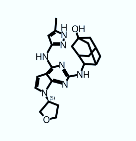 Cc1cc(Nc2nc(NC3C4CC5CC3CC(O)(C5)C4)nc3c2ccn3[C@H]2CCOC2)n[nH]1